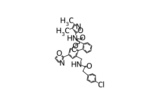 Cc1noc(NS(=O)(=O)c2ccccc2-c2ccc(-c3ncco3)cc2CNC(=O)Cc2ccc(Cl)cc2)c1C